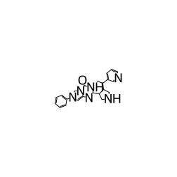 CC(c1cccnc1)C1CNCC1C1=NC2=CN(c3ccccc3)CN2C(=O)N1